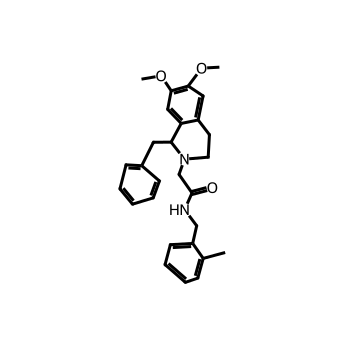 COc1cc2c(cc1OC)C(Cc1ccccc1)N(CC(=O)NCc1ccccc1C)CC2